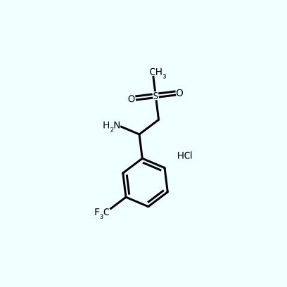 CS(=O)(=O)CC(N)c1cccc(C(F)(F)F)c1.Cl